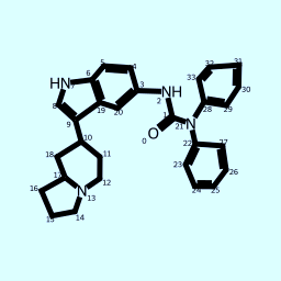 O=C(Nc1ccc2[nH]cc(C3CCN4CCCC4C3)c2c1)N(c1ccccc1)c1ccccc1